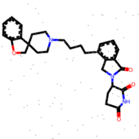 O=C1CCC(N2Cc3c(CCCCN4CCC5(CC4)COc4ccccc45)cccc3C2=O)C(=O)N1